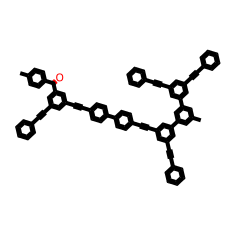 Cc1ccc(C(=O)c2cc(C#Cc3ccccc3)cc(C#Cc3ccc(-c4ccc(C#Cc5cc(C#Cc6ccccc6)cc(-c6cc(C)cc(-c7cc(C#Cc8ccccc8)cc(C#Cc8ccccc8)c7)c6)c5)cc4)cc3)c2)cc1